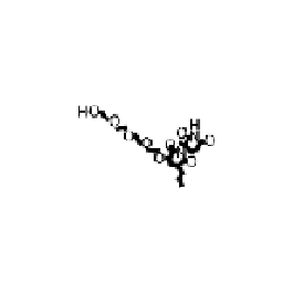 C=C/C=C1\CC(OCCOCCOCCOCCO)C(=O)N(C2(C)CCC(=O)NC2=O)C1=O